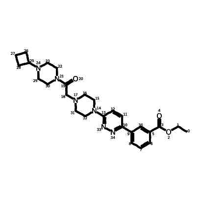 CCOC(=O)c1cccc(-c2ccc(N3CCN(CC(=O)N4CCN(C5CCC5)CC4)CC3)nn2)c1